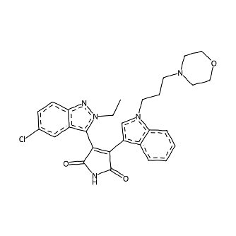 CCn1nc2ccc(Cl)cc2c1C1=C(c2cn(CCCN3CCOCC3)c3ccccc23)C(=O)NC1=O